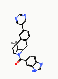 CC1C2Cc3ccc(-c4cncnc4)cc3[C@]1(C)CCN2C(=O)c1ccc2nc[nH]c2c1